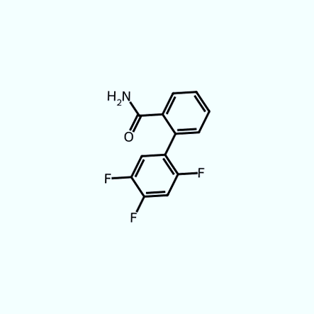 NC(=O)c1ccccc1-c1cc(F)c(F)cc1F